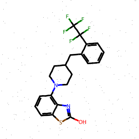 Oc1nc2c(N3CCC(Cc4ccccc4C(F)(F)C(F)(F)F)CC3)cccc2s1